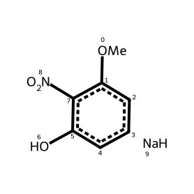 COc1cccc(O)c1[N+](=O)[O-].[NaH]